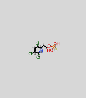 OP(O)(=S)OCCc1nc(Cl)c(Cl)cc1Cl